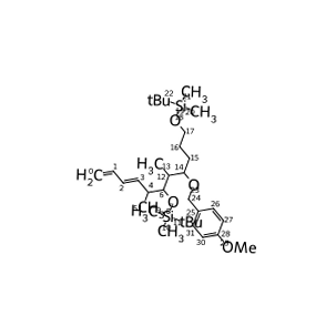 C=C/C=C/C(C)C(O[Si](C)(C)C(C)(C)C)C(C)C(CCCO[Si](C)(C)C(C)(C)C)OCc1ccc(OC)cc1